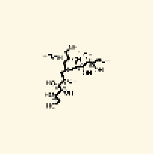 Cl.Cl.NCCCN(C[C@H](O)[C@@H](O)[C@H](O)[C@H](O)CO)C[C@H](O)[C@@H](O)[C@H](O)[C@H](O)CO